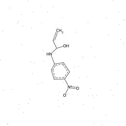 C=CC(O)Nc1ccc([N+](=O)[O-])cc1